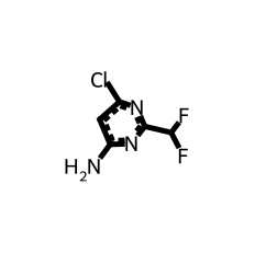 Nc1cc(Cl)nc(C(F)F)n1